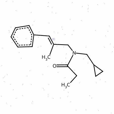 CCC(=O)N(C/C(C)=C/c1ccccc1)CC1CC1